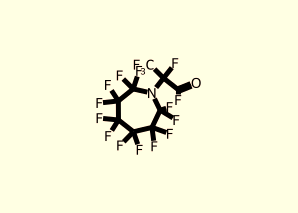 O=C(F)C(F)(N1C(F)(F)C(F)(F)C(F)(F)C(F)(F)C(F)(F)C1(F)F)C(F)(F)F